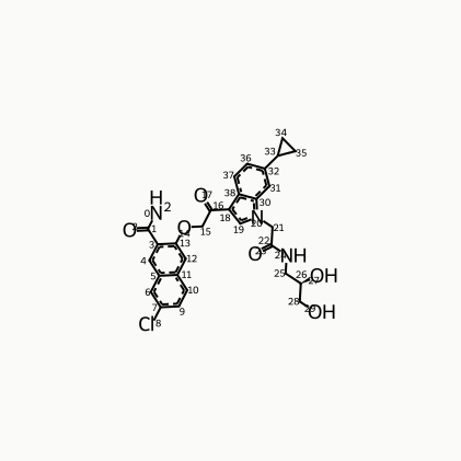 NC(=O)c1cc2cc(Cl)ccc2cc1OCC(=O)c1cn(CC(=O)NC[C@@H](O)CO)c2cc(C3CC3)ccc12